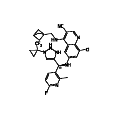 Cc1nc(F)ccc1[C@H](Nc1cc(Cl)c2ncc(C#N)c(NCC34CC(C3)C4)c2c1)C1=CN(C2(C(F)(F)F)CC2)NN1